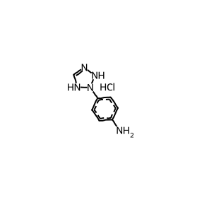 Cl.Nc1ccc(N2NC=NN2)cc1